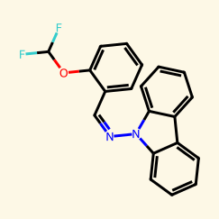 FC(F)Oc1ccccc1/C=N\n1c2ccccc2c2ccccc21